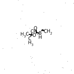 C=CBC(=O)OC(C)(C)C